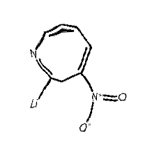 [Li][c]1ncccc1[N+](=O)[O-]